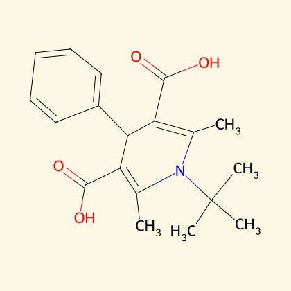 CC1=C(C(=O)O)C(c2ccccc2)C(C(=O)O)=C(C)N1C(C)(C)C